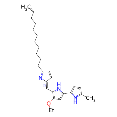 C=CCCCCCCCCCC1=N/C(=C/c2[nH]c(-c3ccc(C)[nH]3)cc2OCC)C=C1